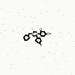 C[C@@H]1CN(c2ccc(O)cc2Cl)C(c2ccc(F)cc2)CN1Cc1ccccc1